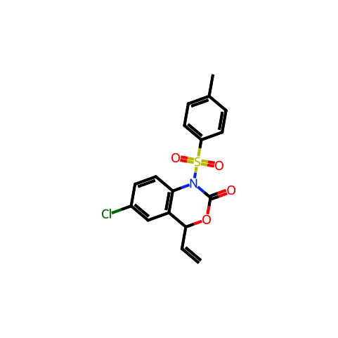 C=CC1OC(=O)N(S(=O)(=O)c2ccc(C)cc2)c2ccc(Cl)cc21